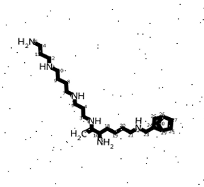 C=C(NCCCNCCCCNCCCN)C(N)CCCCNCC1CC2C=CC1C2